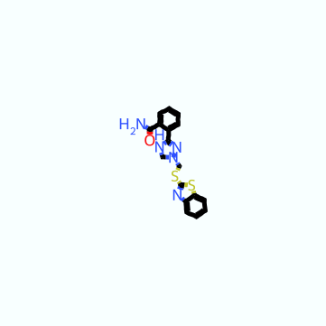 NC(=O)c1ccccc1C1=NN(CSc2nc3ccccc3s2)CN1